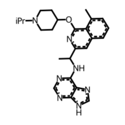 Cc1cccc2cc(C(C)Nc3ncnc4[nH]cnc34)nc(OC3CCN(C(C)C)CC3)c12